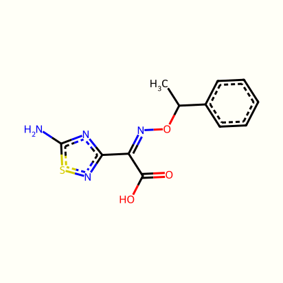 CC(ON=C(C(=O)O)c1nsc(N)n1)c1ccccc1